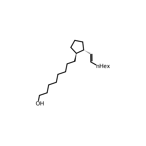 CCCCCC/C=C/[C@H]1CCC[C@@H]1CCCCCCCCO